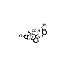 NCc1cccc(Cn2nc(N(C(=O)O)S(=O)(=O)c3ccc(Cl)s3)c3c(O)cccc32)c1